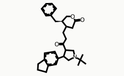 CC(C)(C)N1CC(C(=O)CCC2CC(=O)OC[C@@H]2Cc2ccccc2)C(c2ccc3c(c2)CCC3)C1